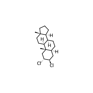 C[C@@]12CCC[C@H]1[C@H]1CC[C@H]3C[C@@H](Cl)[C@H](Cl)C[C@]3(C)[C@H]1CC2